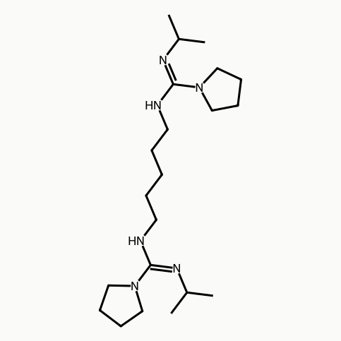 CC(C)/N=C(/NCCCCCN/C(=N/C(C)C)N1CCCC1)N1CCCC1